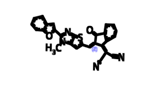 Cn1c(-c2cc3ccccc3o2)nc2sc(/C=C3\C(=O)c4ccccc4C3=C(C#N)C#N)cc21